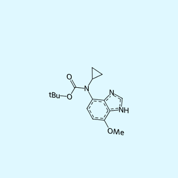 COc1ccc(N(C(=O)OC(C)(C)C)C2CC2)c2nc[nH]c12